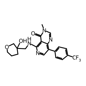 Cn1cnc2c(-c3ccc(C(F)(F)F)cc3)cnc(NCC3(O)CCCOC3)c2c1=O